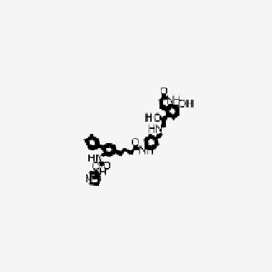 O=C(CCCc1ccc(-c2ccccc2)c(NC(=O)O[C@H]2CN3CCC2CC3)c1)Nc1ccc(CNCC(O)c2ccc(O)c3[nH]c(=O)ccc23)cc1